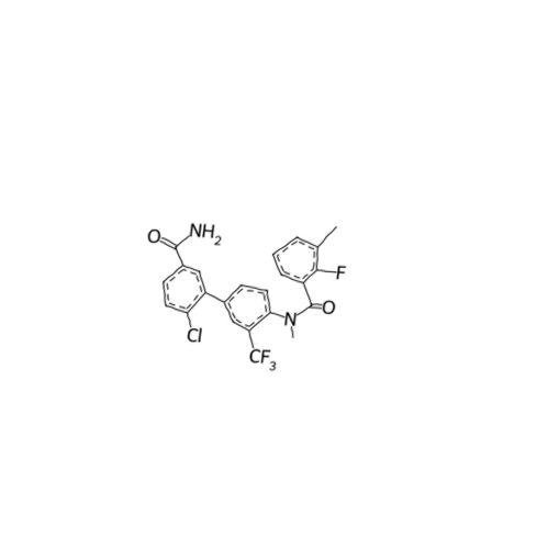 Cc1cccc(C(=O)N(C)c2ccc(-c3cc(C(N)=O)ccc3Cl)cc2C(F)(F)F)c1F